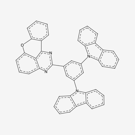 c1ccc2c(c1)Oc1cccc3nc(-c4cc(-n5c6ccccc6c6ccccc65)cc(-n5c6ccccc6c6ccccc65)c4)nc-2c13